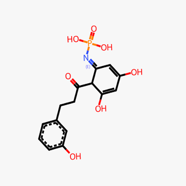 O=C(CCc1cccc(O)c1)C1C(O)=CC(O)=C/C1=N\P(=O)(O)O